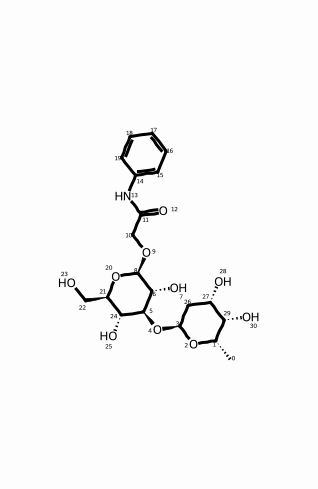 C[C@@H]1O[C@@H](O[C@@H]2[C@@H](O)[C@H](OCC(=O)Nc3ccccc3)O[C@H](CO)[C@H]2O)C[C@H](O)[C@@H]1O